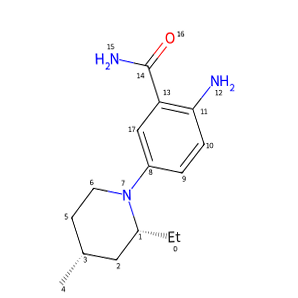 CC[C@@H]1C[C@H](C)CCN1c1ccc(N)c(C(N)=O)c1